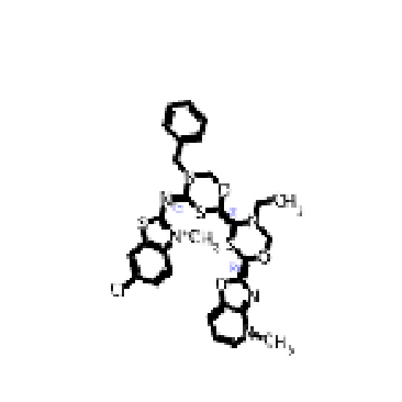 CCN1CO/C(=c2\nc3c(o2)=CC=CN3C)S/C1=C1/OCN(Cc2ccccc2)/C(=N/c2sc3cc(Cl)ccc3[n+]2C)S1